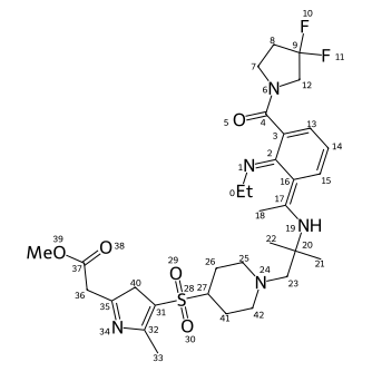 CC/N=C1/C(C(=O)N2CCC(F)(F)C2)=CC=C/C1=C(/C)NC(C)(C)CN1CCC(S(=O)(=O)C2=C(C)N=C(CC(=O)OC)C2)CC1